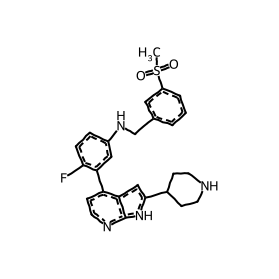 CS(=O)(=O)c1cccc(CNc2ccc(F)c(-c3ccnc4[nH]c(C5CCNCC5)cc34)c2)c1